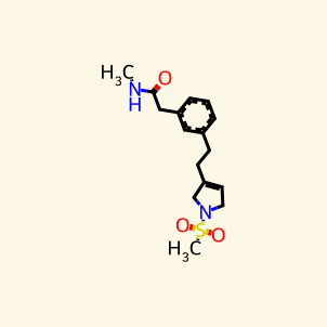 CNC(=O)Cc1cccc(CCC2=CCN(S(C)(=O)=O)C2)c1